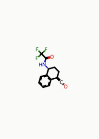 O=C=C1CC[C@H](NC(=O)C(F)(F)F)c2ccccc21